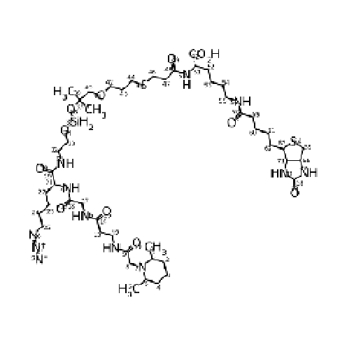 CC1CCCC(C)N1CC(=O)NCCC(=O)NCC(=O)N[C@@H](CCCCN=[N+]=[N-])C(=O)NCCO[SiH2]OC(C)(C)COCCCSCCC(=O)N[C@@H](CCCCNC(=O)CCCCC1SCC2NC(=O)NC21)C(=O)O